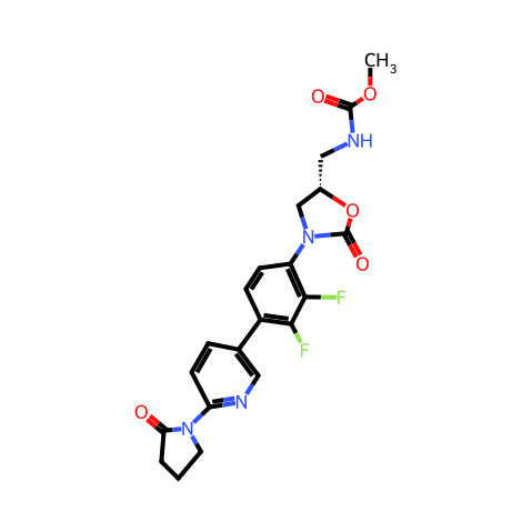 COC(=O)NC[C@H]1CN(c2ccc(-c3ccc(N4CCCC4=O)nc3)c(F)c2F)C(=O)O1